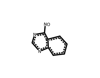 O=Nc1ncnc2ccccc12